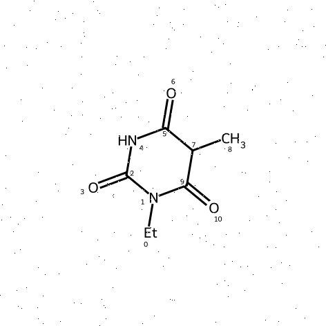 CCN1C(=O)NC(=O)C(C)C1=O